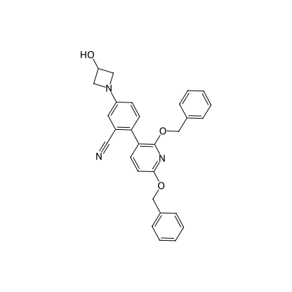 N#Cc1cc(N2CC(O)C2)ccc1-c1ccc(OCc2ccccc2)nc1OCc1ccccc1